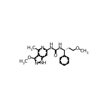 COCC[C@@H](NC(=O)Nc1cc2[nH]nc(OC)c2c(C)n1)c1ccccc1